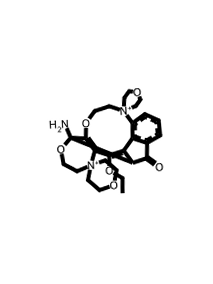 CCOC1=C2c3c4cccc3[N+]3(CCOCC3)CCOC3=C1[N+]1(CCOCC1)CCOC3(N)C2C4=O